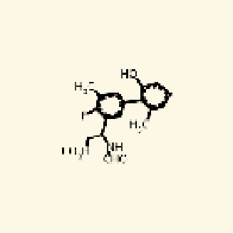 Cc1cc(-c2c(C)cccc2O)cc([C@H](CC(=O)O)NC=O)c1F